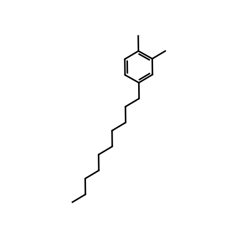 CCCCCCCCCCc1ccc(C)c(C)c1